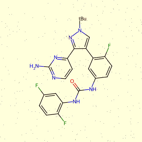 CC(C)(C)n1cc(-c2cc(NC(=O)Nc3cc(F)ccc3F)ccc2F)c(-c2ccnc(N)n2)n1